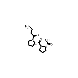 NCCC(=O)N1CCC[C@H]1C(=O)N1CCC[C@H]1C(=O)O